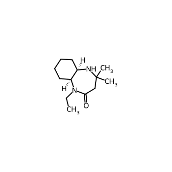 CCN1C(=O)CC(C)(C)N[C@@H]2CCCC[C@@H]21